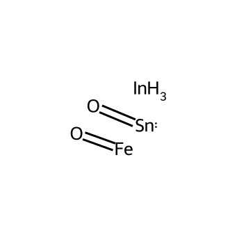 [InH3].[O]=[Fe].[O]=[Sn]